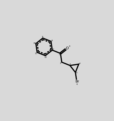 O=C(CC1CC1Br)c1ccccc1